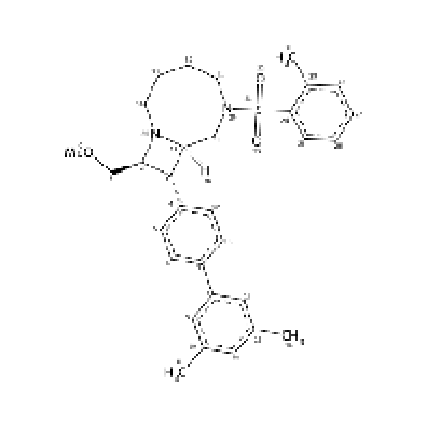 COC[C@@H]1[C@@H](c2ccc(-c3cc(C)cc(C)c3)cc2)[C@@H]2CN(S(=O)(=O)c3ccccc3C)CCCCN12